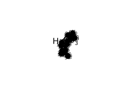 CC1(C)c2cc(N(c3cccc4ccccc34)c3ccc4c5c3ccc3cccc(c35)n4-c3ccccc3)ccc2-c2ccc([Si](c3ccccc3)(c3ccccc3)c3ccccc3)cc21